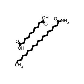 CCCCCCCCCCCCCCCCCC(N)=O.O=C(O)CCCCCCCCC(=O)O